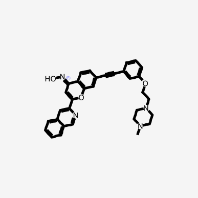 CN1CCN(CCOc2cccc(C#Cc3ccc4/c(=N/O)cc(-c5cc6ccccc6cn5)oc4c3)c2)CC1